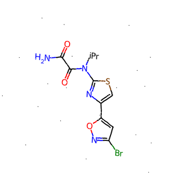 CC(C)N(C(=O)C(N)=O)c1nc(-c2cc(Br)no2)cs1